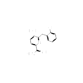 Cl.N=C(N)c1cccc(Cc2ccccc2Cl)n1